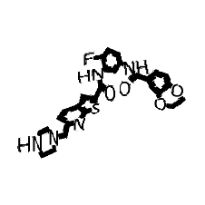 O=C(Nc1ccc(F)c(NC(=O)c2cc3ccc(CN4CCNCC4)nc3s2)c1)c1ccc2c(c1)OCCO2